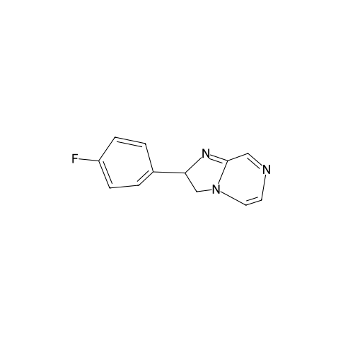 Fc1ccc(C2CN3C=CN=CC3=N2)cc1